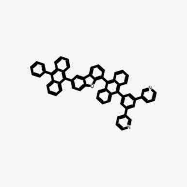 c1ccc(-c2c3ccccc3c(-c3ccc4oc5c(-c6c7ccccc7c(-c7cc(-c8cccnc8)cc(-c8cccnc8)c7)c7ccccc67)cccc5c4c3)c3ccccc23)cc1